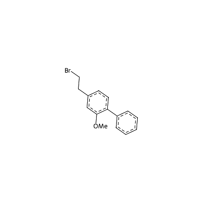 COc1cc(CCBr)ccc1-c1ccccc1